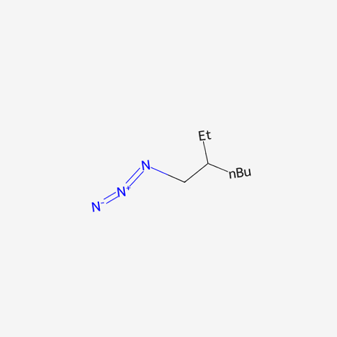 CCCCC(CC)CN=[N+]=[N-]